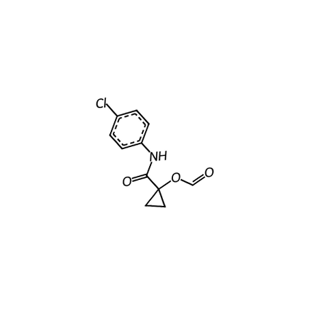 O=COC1(C(=O)Nc2ccc(Cl)cc2)CC1